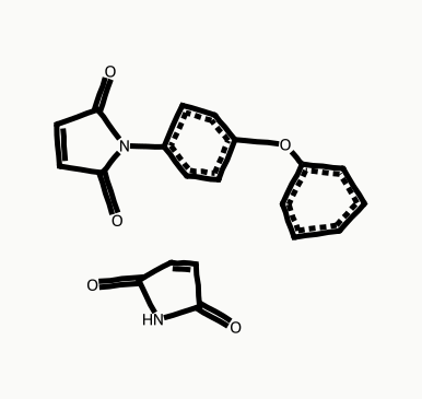 O=C1C=CC(=O)N1.O=C1C=CC(=O)N1c1ccc(Oc2ccccc2)cc1